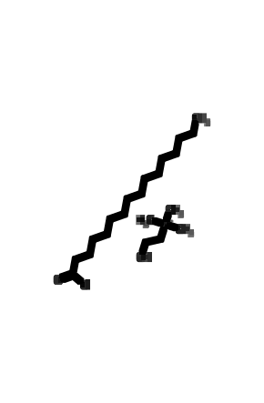 CCCCCCCCCCCCCCCC(=O)Cl.C[N+](C)(C)CCO